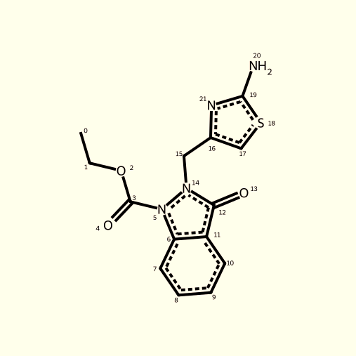 CCOC(=O)n1c2ccccc2c(=O)n1Cc1csc(N)n1